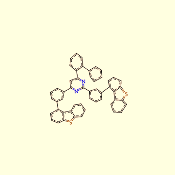 c1ccc(-c2ccccc2-c2cc(-c3cccc(-c4cccc5sc6ccccc6c45)c3)nc(-c3cccc(-c4cccc5sc6ccccc6c45)c3)n2)cc1